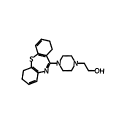 OCCN1CCN(C2=NC3=C(CCC=C3)SC3=C2CCC=C3)CC1